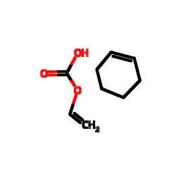 C1=CCCCC1.C=COC(=O)O